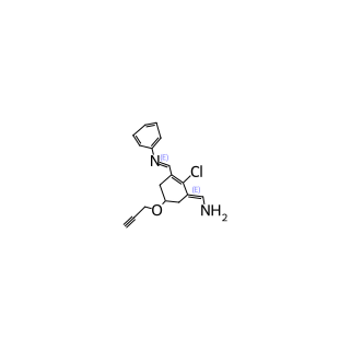 C#CCOC1CC(/C=N/c2ccccc2)=C(Cl)C(=C/N)/C1